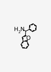 NC(c1ccccc1)c1cc2ccccc2o1